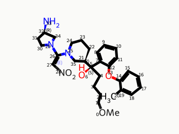 COCCCC[C@@](O)(c1ccccc1Oc1ccccc1C)[C@@H]1CCCN(/C(=C\[N+](=O)[O-])N2CC[C@@H](N)C2)C1